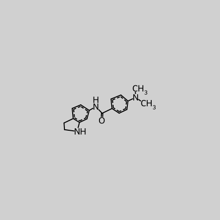 CN(C)c1ccc(C(=O)Nc2ccc3c(c2)NCC3)cc1